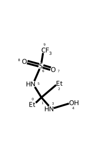 CCC(CC)(NO)NS(=O)(=O)C(F)(F)F